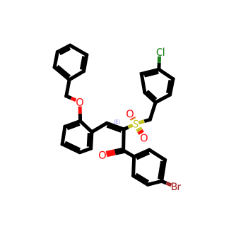 O=C(/C(=C\c1ccccc1OCc1ccccc1)S(=O)(=O)Cc1ccc(Cl)cc1)c1ccc(Br)cc1